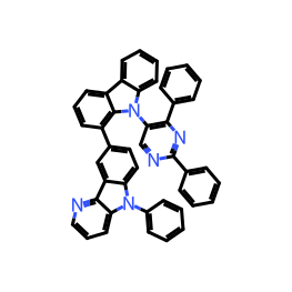 c1ccc(-c2ncc(-n3c4ccccc4c4cccc(-c5ccc6c(c5)c5ncccc5n6-c5ccccc5)c43)c(-c3ccccc3)n2)cc1